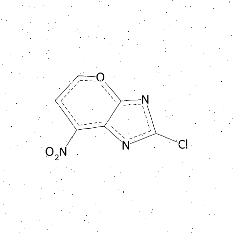 O=[N+]([O-])c1ccoc2nc(Cl)nc1-2